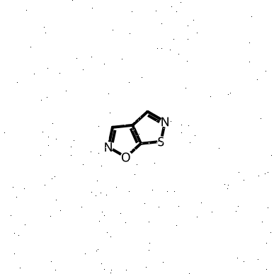 c1noc2sncc12